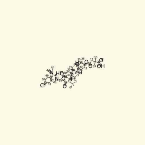 CC(C)C1=C2[C@H]3CC[C@@H]4[C@@]5(C)CC[C@H](OC(=O)CC(C)(C)C(=O)O)C(C)(C)[C@@H]5CC[C@@]4(C)[C@]3(C)CC[C@@]2([C@@H](O)CN(CCN(C)C)Cc2cccc(Cl)c2)CC1=O